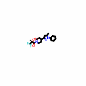 Cc1cc(C2CCN(C(=O)[C@@](C)(O)C(F)F)CC2)nn1-c1ccccc1